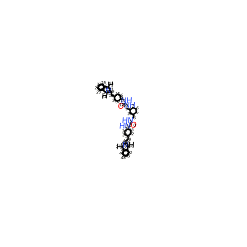 O=C(NCC1CCCC(CNC(=O)NC2CCC(CCN3[C@@H]4CC[C@H]3c3ccccc34)CC2)C1)NC1CCC(CCN2[C@@H]3CC[C@H]2c2ccccc23)CC1